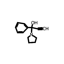 C#CC(O)(c1ccccc1)N1CCCC1